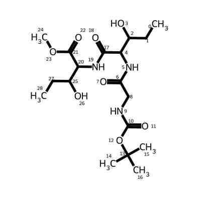 CCC(O)C(NC(=O)CNC(=O)OC(C)(C)C)C(=O)NC(C(=O)OC)C(O)CC